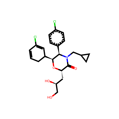 O=C1[C@H](C[C@H](O)CO)O[C@@H](C2C=C(Cl)C=CC2)[C@@H](c2ccc(Cl)cc2)N1CC1CC1